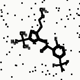 COCCn1cc(C(C)(C)C)s/c1=N\C(=O)c1cc(C(F)(F)F)ccc1F